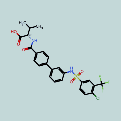 CC(C)[C@H](NC(=O)c1ccc(-c2cccc(NS(=O)(=O)c3ccc(Cl)c(C(F)(F)F)c3)c2)cc1)C(=O)O